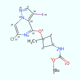 CC(C)(C)OC(=O)NC1CC(C)(Oc2nc(Cl)cn3ncc(I)c23)C1